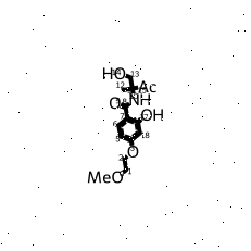 COCCOc1ccc(C(=O)NC(C)(CO)C(C)=O)c(O)c1